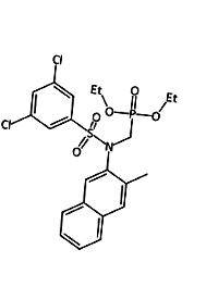 CCOP(=O)(CN(c1cc2ccccc2cc1C)S(=O)(=O)c1cc(Cl)cc(Cl)c1)OCC